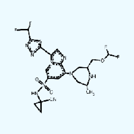 C[C@@H]1CN(c2cc(S(=O)(=O)NC3(C#N)CC3)cn3c(-c4nnc(C(F)F)s4)cnc23)C[C@@H](COC(F)F)N1